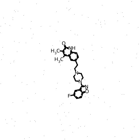 Cc1c(C)c2cc(CCN3CCN(c4noc5ccc(F)cc45)CC3)ccc2[nH]c1=O